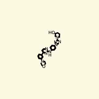 OC1CCCN(c2ncn(-c3ccc(Nc4nccc(-c5cccc(N6CCOCC6)c5)n4)cc3)n2)C1